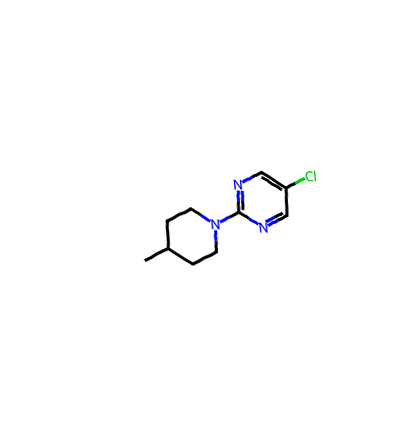 CC1CCN(c2ncc(Cl)cn2)CC1